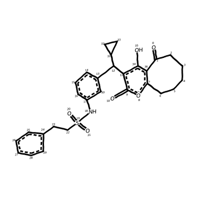 O=C1CCCCCc2oc(=O)c(C(c3cccc(NS(=O)(=O)CCc4ccccc4)c3)C3CC3)c(O)c21